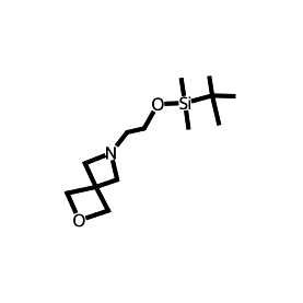 CC(C)(C)[Si](C)(C)OCCN1CC2(COC2)C1